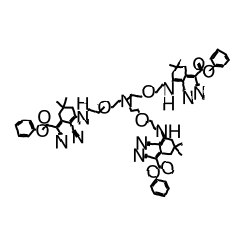 CC1(C)CC(NCCOCCN(CCOCCNC2=C(C#N)/C(=C(\C#N)C(=O)Oc3ccccc3)CC(C)(C)C2)CCOCCNC2=C(C#N)/C(=C(\C#N)C(=O)Oc3ccccc3)CC(C)(C)C2)=C(C#N)/C(=C(\C#N)C(=O)Oc2ccccc2)C1